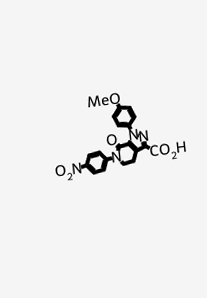 COc1ccc(-n2nc(C(=O)O)c3c2C(=O)N(c2ccc([N+](=O)[O-])cc2)CC3)cc1